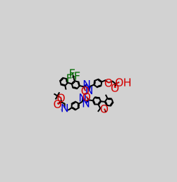 COC(C)c1cc(-c2nc(-c3ccc(CN(C)CC(=O)OC(C)(C)C)cc3)no2)ccc1-c1ccccc1C.Cc1ccccc1-c1ccc(-c2nc(-c3ccc(COCC(=O)O)cc3)no2)cc1C(F)(F)F